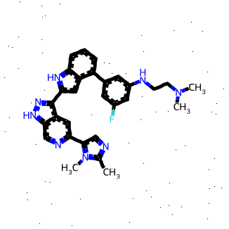 Cc1ncc(-c2cc3c(-c4cc5c(-c6cc(F)cc(NCCN(C)C)c6)cccc5[nH]4)n[nH]c3cn2)n1C